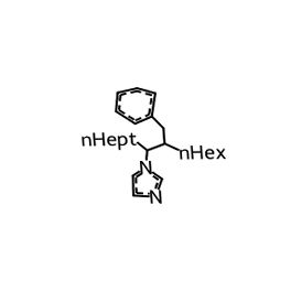 CCCCCCCC(C(CCCCCC)Cc1ccccc1)n1ccnc1